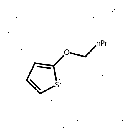 CCCCOc1cccs1